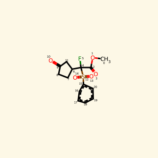 COC(=O)C(F)(C1CCC(=O)C1)S(=O)(=O)c1ccccc1